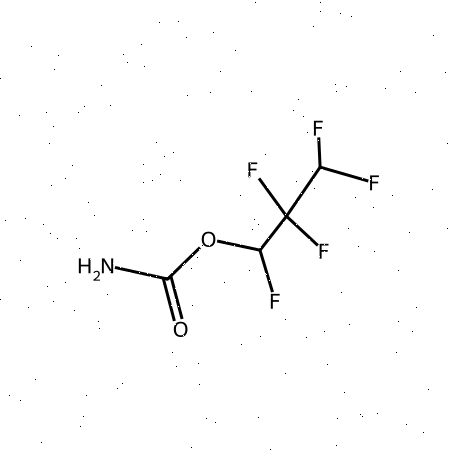 NC(=O)OC(F)C(F)(F)C(F)F